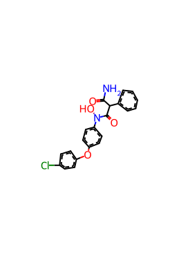 NC(=O)C(C(=O)N(O)c1ccc(Oc2ccc(Cl)cc2)cc1)c1ccccc1